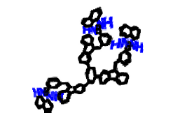 C(=C1/c2ccccc2-c2ccc(-c3cc(-c4ccc5c(c4)/C(=C/c4cccc(B6Nc7cccc8cccc(c78)N6)c4)c4ccccc4-5)cc(-c4ccc5c(c4)/C(=C/c4cccc(B6Nc7cccc8cccc(c78)N6)c4)c4ccccc4-5)c3)cc21)/c1cccc(B2Nc3cccc4cccc(c34)N2)c1